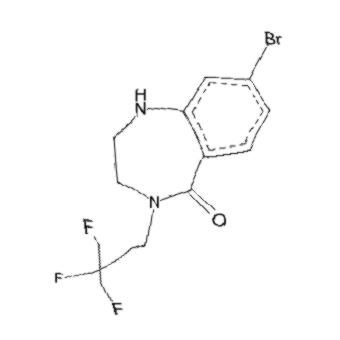 O=C1c2ccc(Br)cc2NCCN1CC(F)(F)F